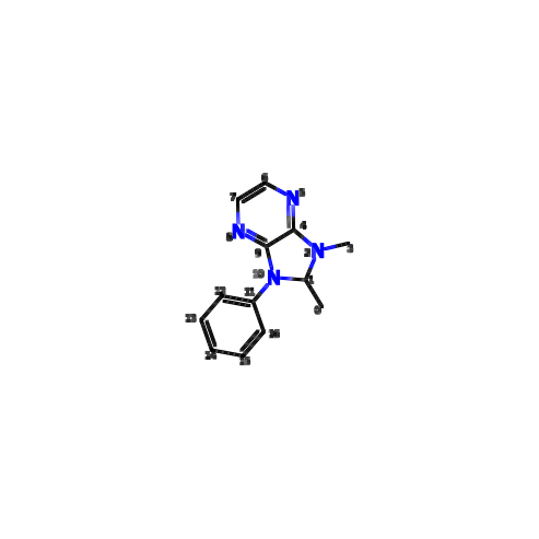 CC1N(C)c2nccnc2N1c1ccccc1